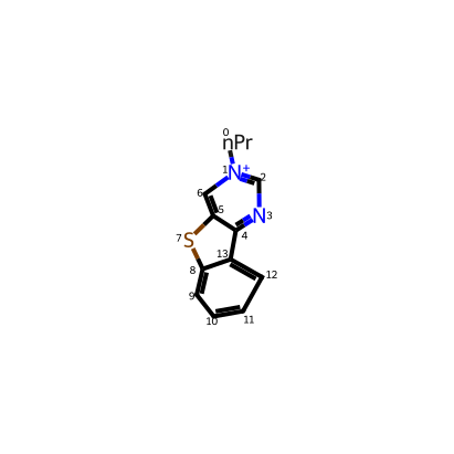 CCC[n+]1cnc2c(c1)sc1ccccc12